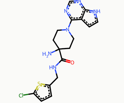 NC1(C(=O)NCc2ccc(Cl)s2)CCN(c2ncnc3[nH]ccc23)CC1